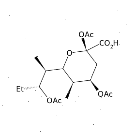 CC[C@@H](OC(C)=O)[C@@H](C)C1O[C@](OC(C)=O)(C(=O)O)C[C@@H](OC(C)=O)[C@H]1C